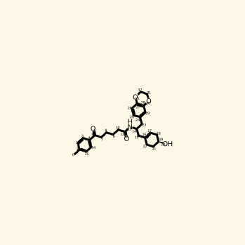 Cc1ccc(C(=O)CCCCC(=O)NC(CC2=CC[C@@H](O)CC2)Cc2ccc3c(c2)OCCO3)cc1